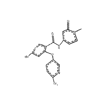 Cn1ccc(NC(=O)c2ccc(C(C)(C)C)cc2Oc2ccc(C(F)(F)F)nc2)cc1=O